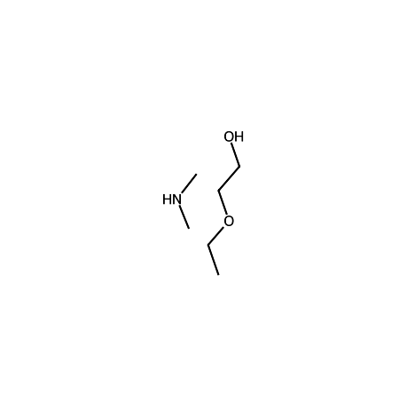 CCOCCO.CNC